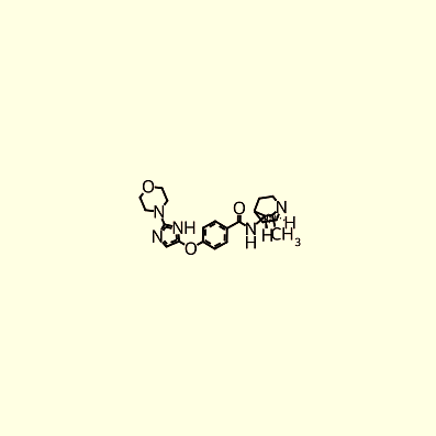 C[C@H]1[C@H](NC(=O)c2ccc(Oc3cnc(N4CCOCC4)[nH]3)cc2)C2CCN1CC2